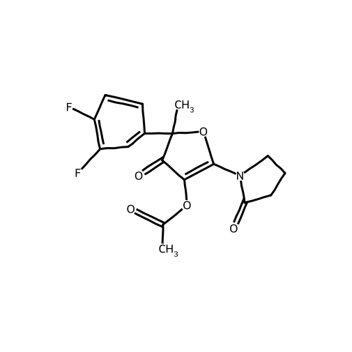 CC(=O)OC1=C(N2CCCC2=O)OC(C)(c2ccc(F)c(F)c2)C1=O